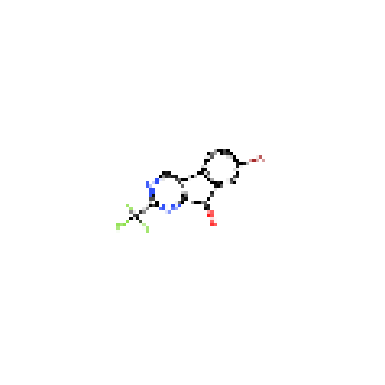 O=C1c2cc(Br)ccc2-c2cnc(C(F)(F)F)nc21